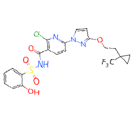 O=C(NS(=O)(=O)c1ccccc1O)c1ccc(-n2ccc(OCCC3(C(F)(F)F)CC3)n2)nc1Cl